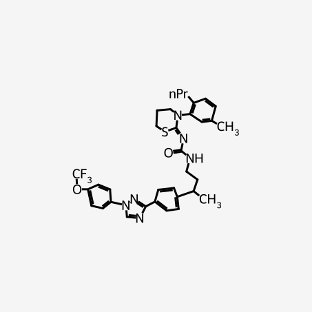 CCCc1ccc(C)cc1N1CCCS/C1=N\C(=O)NCCC(C)c1ccc(-c2ncn(-c3ccc(OC(F)(F)F)cc3)n2)cc1